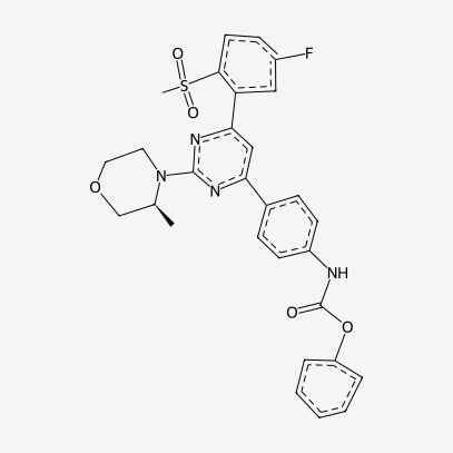 C[C@H]1COCCN1c1nc(-c2ccc(NC(=O)Oc3ccccc3)cc2)cc(-c2cc(F)ccc2S(C)(=O)=O)n1